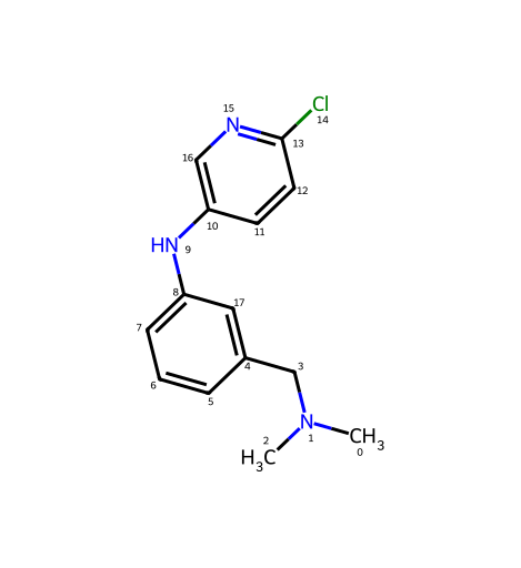 CN(C)Cc1cccc(Nc2ccc(Cl)nc2)c1